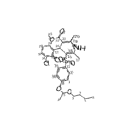 CCCCOC(C)Oc1ccc(S(=O)(=O)C2=C(C)NC(C)=C(C(=O)OC)C2c2cccc(Cl)c2Cl)cc1